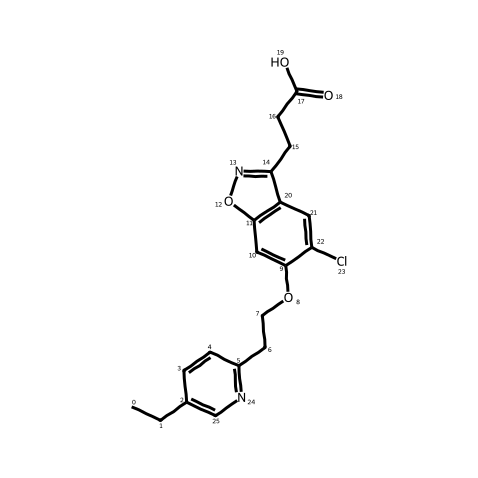 CCc1ccc(CCOc2cc3onc(CCC(=O)O)c3cc2Cl)nc1